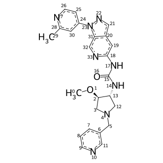 CO[C@@H]1CN(Cc2cccnc2)C[C@H]1NC(=O)Nc1cc2cnn(-c3ccnc(C)c3)c2cn1